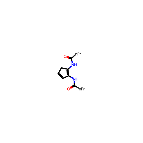 CCCC(=O)NC1=C(NC(=O)CCC)CC=C1